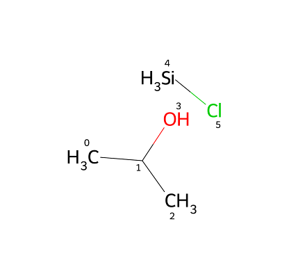 CC(C)O.[SiH3]Cl